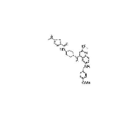 COc1ccc(CNc2ccc3nc(C(F)(F)F)cc(NC4CCC(NC(=O)c5ccc(N(C)C)cc5)CC4)c3c2)cc1